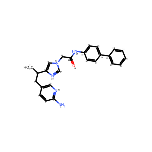 Nc1ccc(CC(C(=O)O)c2cn(CC(=O)Nc3ccc(-c4ccccc4)cc3)cn2)cn1